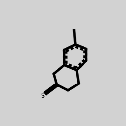 Cc1ccc2c(c1)CC(=S)CC2